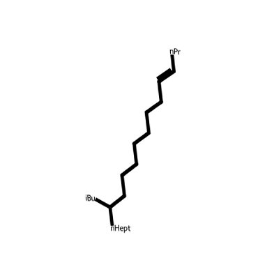 [CH2]CCC=CCCCCCCCC(CCCCCC[CH2])C(C)CC